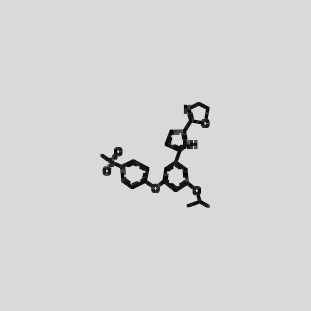 CC(C)Oc1cc(Oc2ccc(S(C)(=O)=O)cc2)cc(-c2ccc(C3=NCCO3)[nH]2)c1